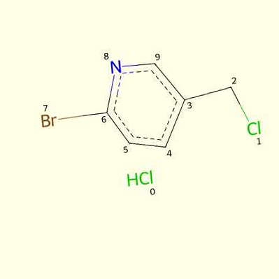 Cl.ClCc1ccc(Br)nc1